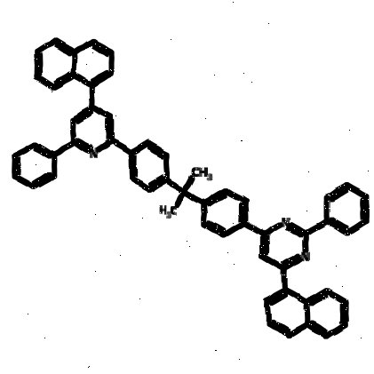 CC(C)(c1ccc(-c2cc(-c3cccc4ccccc34)cc(-c3ccccc3)n2)cc1)c1ccc(-c2cc(-c3cccc4ccccc34)nc(-c3ccccc3)n2)cc1